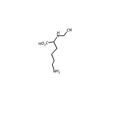 N#CCNC(CCCCN)C(=O)O